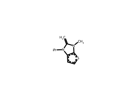 C=C1N(C)c2sccc2N1C(C)C